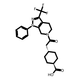 O=C(C[C@H]1CC[C@H](C(=O)O)CC1)N1CCc2c(C(F)(F)F)nn(-c3ccccc3)c2C1